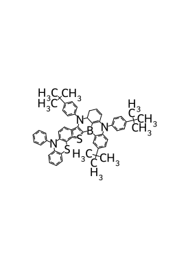 CC(C)(C)c1ccc(N2C3=C4B(c5cc(C(C)(C)C)ccc52)c2sc5c6c(ccc5c2N(c2ccc(C(C)(C)C)cc2)C4CC=C3)N(c2ccccc2)c2ccccc2S6)cc1